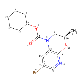 C[C@@H]1CN(C(=O)OC2CCCCC2)c2cc(Br)cnc2O1